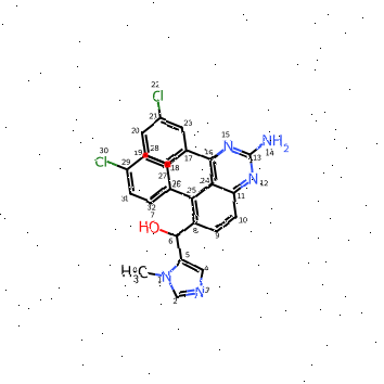 Cn1cncc1C(O)c1ccc2nc(N)nc(-c3cccc(Cl)c3)c2c1-c1ccc(Cl)cc1